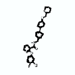 O=C(NCc1ccc(-c2ccc(OCc3ccccn3)cc2)cc1)c1cccnc1Oc1ccc(F)c(Cl)c1